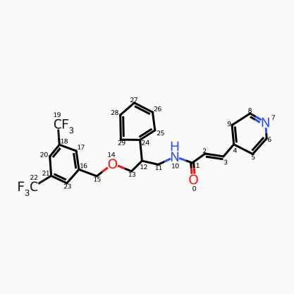 O=C(C=Cc1ccncc1)NCC(COCc1cc(C(F)(F)F)cc(C(F)(F)F)c1)c1ccccc1